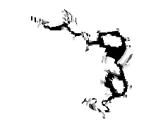 NC[C@@H](O)COCc1cccc(Cc2ccc(S(=O)(=O)O)cc2)c1